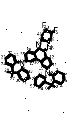 CC1(C)c2ccccc2N(c2ccc3c(c2)c2cc(N4c5ccccc5C(C)(C)c5ccccc54)ccc2c2nc4cc(F)c(F)cc4nc32)c2ccccc21